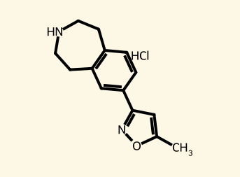 Cc1cc(-c2ccc3c(c2)CCNCC3)no1.Cl